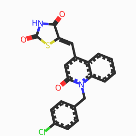 O=C1NC(=O)/C(=C/c2cc(=O)n(Cc3ccc(Cl)cc3)c3ccccc23)S1